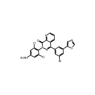 CC(=O)Nc1cc(Cl)c(-n2nc(-c3cc(Br)cc(-c4cnco4)c3)c3cccnc3c2=O)c(Cl)c1